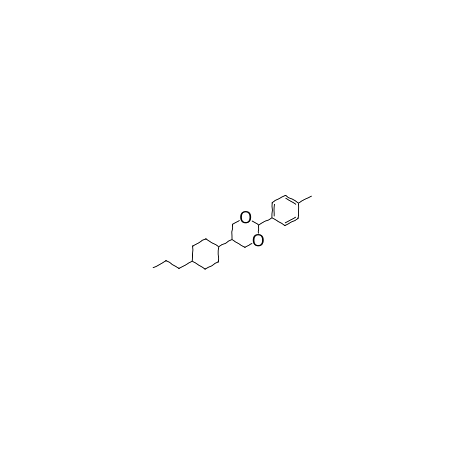 CCCC1CCC(C2COC(c3ccc(C)cc3)OC2)CC1